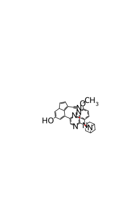 COc1ccc(CN2C3CC2CN(c2cnc(C4=CC(O)=CC5C=CC(C#N)=C45)cn2)C3)cn1